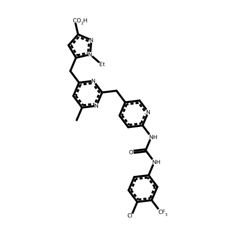 CCn1nc(C(=O)O)cc1Cc1cc(C)nc(Cc2ccc(NC(=O)Nc3ccc(Cl)c(C(F)(F)F)c3)nc2)n1